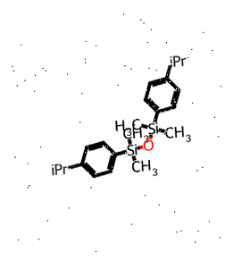 CC(C)c1ccc([Si](C)(C)O[Si](C)(C)c2ccc(C(C)C)cc2)cc1